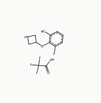 N#Cc1cccc(F)c1OC1CNC1.O=C(O)C(F)(F)F